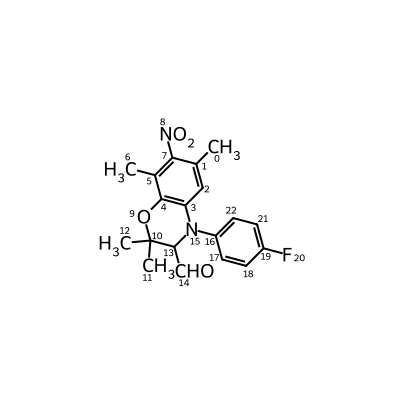 Cc1cc2c(c(C)c1[N+](=O)[O-])OC(C)(C)C(C=O)N2c1ccc(F)cc1